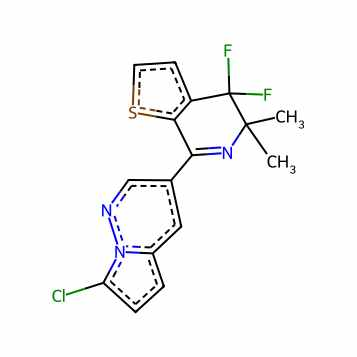 CC1(C)N=C(c2cnn3c(Cl)ccc3c2)c2sccc2C1(F)F